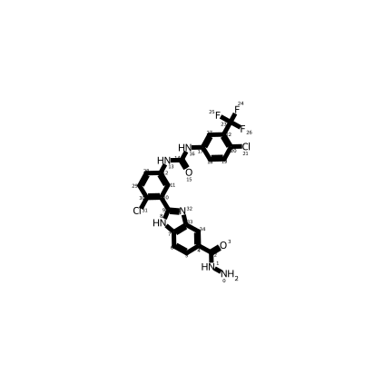 NNC(=O)c1ccc2[nH]c(-c3cc(NC(=O)Nc4ccc(Cl)c(C(F)(F)F)c4)ccc3Cl)nc2c1